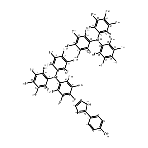 Fc1c(F)c(F)[c]([Al]([c]2c(F)c(F)c(F)c(F)c2F)[c]2c(F)c(F)c(F)c(F)c2F)c(F)c1F.Fc1c(F)c(F)[c]([Al]([c]2c(F)c(F)c(F)c(F)c2F)[c]2c(F)c(F)c(F)c(F)c2F)c(F)c1F.Oc1ccc(-c2ncc[nH]2)cc1